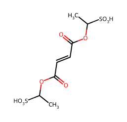 CC(OC(=O)/C=C/C(=O)OC(C)S(=O)(=O)O)S(=O)(=O)O